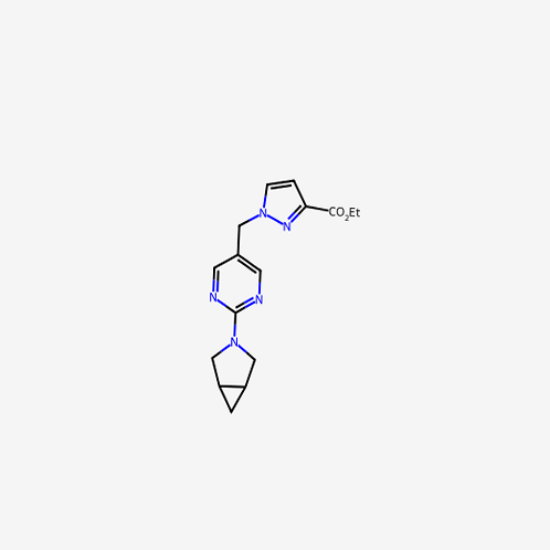 CCOC(=O)c1ccn(Cc2cnc(N3CC4CC4C3)nc2)n1